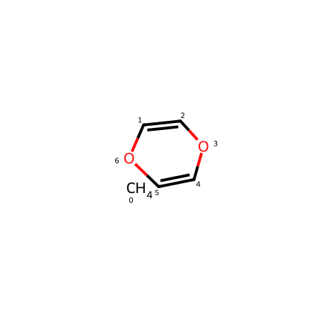 C.C1=COC=CO1